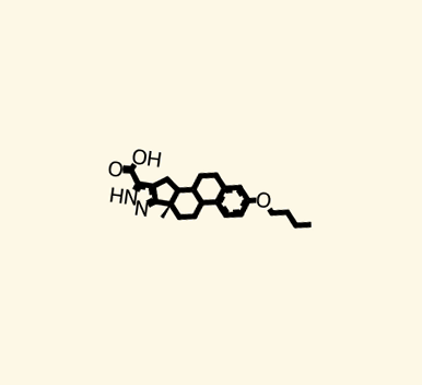 CCCCOc1ccc2c(c1)CCC1C2CC[C@]2(C)c3n[nH]c(C(=O)O)c3CC12